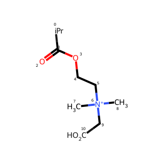 CC(C)C(=O)OCC[N+](C)(C)CC(=O)O